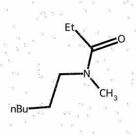 [CH2]CC(=O)N(C)CCCCCC